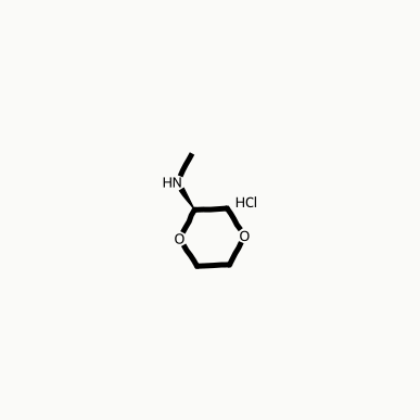 CN[C@H]1COCCO1.Cl